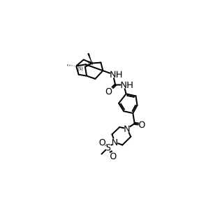 C[C@]12CC3CC(NC(=O)Nc4ccc(C(=O)N5CCN(S(C)(=O)=O)CC5)cc4)(C1)C[C@@](C)(C3)C2